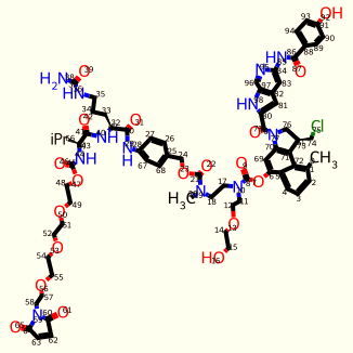 Cc1cccc2c(OC(=O)N(CCOCCO)CCN(C)C(=O)OCc3ccc(NC(=O)[C@H](CCCNC(N)=O)NC(=O)[C@@H](NC(=O)OCCOCCOCCOCCN4C(=O)C=CC4=O)C(C)C)cc3)cc3c(c12)[C@H](CCl)CN3C(=O)c1cc2cc(NC(=O)c3ccc(O)cc3)ncc2[nH]1